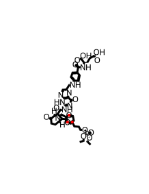 CCOP(=O)(OCC)OCCCCOC(=O)C1C(C(=O)Nc2nc(=O)c3nc(CNc4ccc(C(=O)N[C@H](CCC(=O)O)C(=O)O)cc4)cnc3[nH]2)[C@H]2C(=O)CC[C@@H]1N2Cc1ccccc1